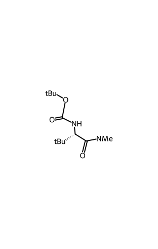 CNC(=O)[C@@H](NC(=O)OC(C)(C)C)C(C)(C)C